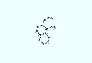 COc1ccc2cccnc2c1N